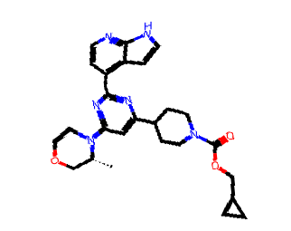 C[C@@H]1COCCN1c1cc(C2CCN(C(=O)OCC3CC3)CC2)nc(-c2ccnc3[nH]ccc23)n1